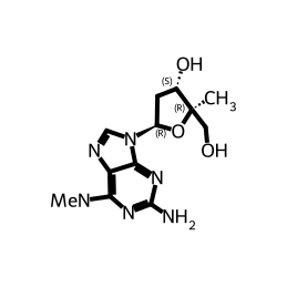 CNc1nc(N)nc2c1ncn2[C@H]1C[C@H](O)[C@@](C)(CO)O1